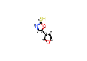 Sc1ncc(-c2ccoc2)o1